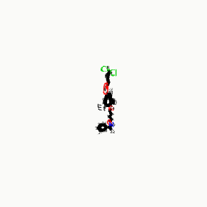 CCc1cc(OCC=C(Cl)Cl)cc(C)c1OCCCCON=C(C)c1ccccc1